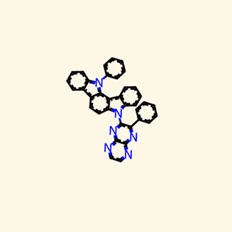 c1ccc(-c2nc3nccnc3nc2-n2c3ccccc3c3c2ccc2c4ccccc4n(-c4ccccc4)c23)cc1